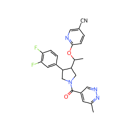 Cc1cc(C(=O)N2CC(c3ccc(F)c(F)c3)C(C(C)Oc3ccc(C#N)cn3)C2)cnn1